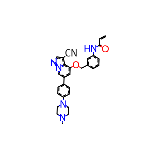 C=CC(=O)Nc1cccc(COc2cc(-c3ccc(N4CCN(C)CC4)cc3)cn3ncc(C#N)c23)c1